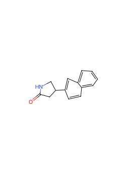 O=C1CC(c2ccc3ccccc3c2)CN1